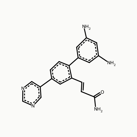 NC(=O)C=Cc1cc(-c2cncnc2)ccc1-c1cc(N)cc(N)c1